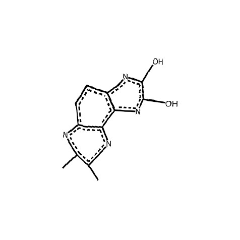 Cc1nc2ccc3nc(O)c(O)nc3c2nc1C